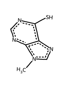 Cn1cnc2c(S)ncnc21